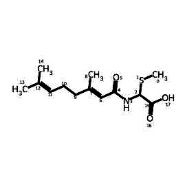 CSC(NC(=O)/C=C(\C)CCC=C(C)C)C(=O)O